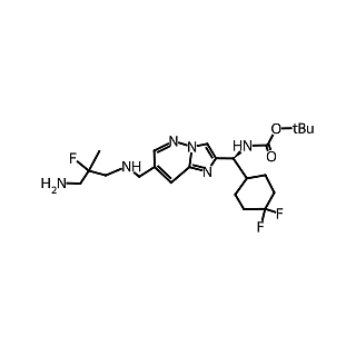 CC(F)(CN)CNCc1cnn2cc([C@@H](NC(=O)OC(C)(C)C)C3CCC(F)(F)CC3)nc2c1